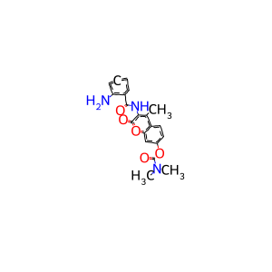 Cc1c(NC(=O)c2ccccc2N)c(=O)oc2cc(OC(=O)N(C)C)ccc12